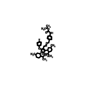 CC1CCC(C(C)C)C(c2nn(C3CC(C)CCC3C(C)C)c(Oc3ccc(F)cc3)c2C=NOCc2ccc(NC(=O)OC(C)C)cc2)C1